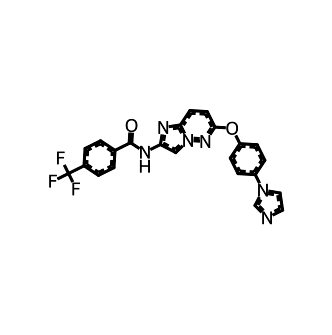 O=C(Nc1cn2nc(Oc3ccc(-n4ccnc4)cc3)ccc2n1)c1ccc(C(F)(F)F)cc1